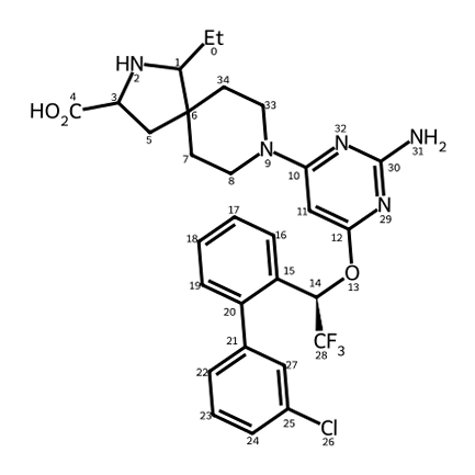 CCC1NC(C(=O)O)CC12CCN(c1cc(O[C@H](c3ccccc3-c3cccc(Cl)c3)C(F)(F)F)nc(N)n1)CC2